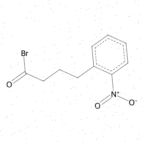 O=C(Br)CCCc1ccccc1[N+](=O)[O-]